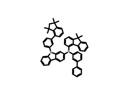 CC1(C)CC(C)(C)c2c(-c3cccc(-n4c5ccccc5c5ccc(N(c6cccc(-c7ccccc7)c6)c6cccc7c6-c6ccccc6C7(C)C)cc54)c3)cccc21